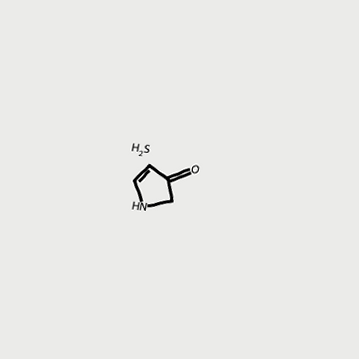 O=C1C=CNC1.S